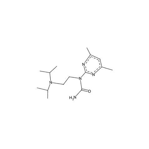 Cc1cc(C)nc(N(CCN(C(C)C)C(C)C)C(N)=O)n1